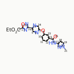 CCOC(=O)c1nc(-c2cnc(Oc3cccc(C(=O)Nc4ccn(C)n4)c3)cn2)no1